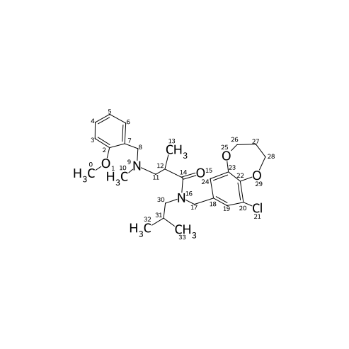 COc1ccccc1CN(C)CC(C)C(=O)N(Cc1cc(Cl)c2c(c1)OCCCO2)CC(C)C